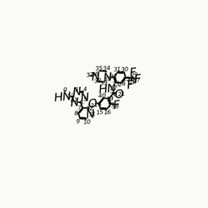 CNc1ncnc(-c2cccnc2Oc2ccc(F)c(C(=O)Nc3cc(C(F)(F)F)ccc3N3CCN(C)CC3)c2)n1